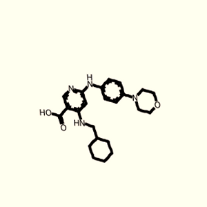 O=C(O)c1cnc(Nc2ccc(N3CCOCC3)cc2)cc1NCC1CCCCC1